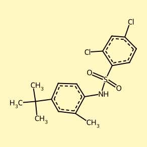 Cc1cc(C(C)(C)C)ccc1NS(=O)(=O)c1ccc(Cl)cc1Cl